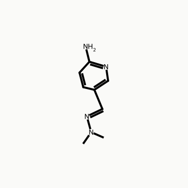 CN(C)/N=C/c1ccc(N)nc1